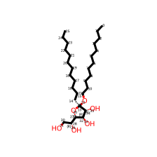 CCCCCCCCCCCCO[C@]1(CCCCCCCCCCCC)O[C@@H]([C@H](O)CO)[C@H](O)[C@H]1O